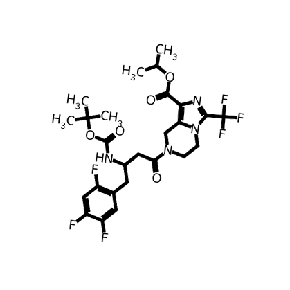 CC(C)OC(=O)c1nc(C(F)(F)F)n2c1CN(C(=O)CC(Cc1cc(F)c(F)cc1F)NC(=O)OC(C)(C)C)CC2